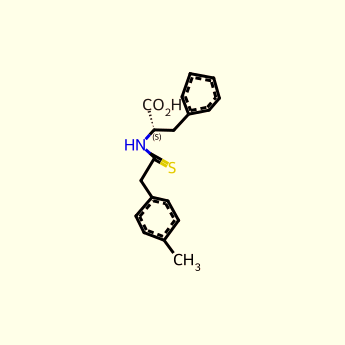 Cc1ccc(CC(=S)N[C@@H](Cc2ccccc2)C(=O)O)cc1